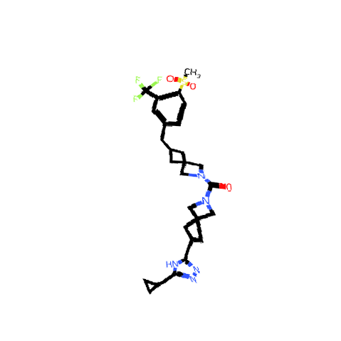 CS(=O)(=O)c1ccc(CC2CC3(C2)CN(C(=O)N2CC4(CC(c5nnc(C6CC6)[nH]5)C4)C2)C3)cc1C(F)(F)F